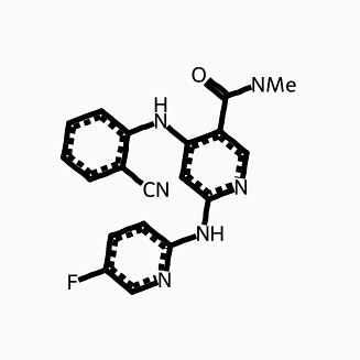 CNC(=O)c1cnc(Nc2ccc(F)cn2)cc1Nc1ccccc1C#N